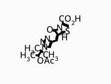 CC(=O)OC(C)C(C)(C)n1cc(C=C2C(=O)N3C(C(=O)O)=CS[C@H]23)nn1